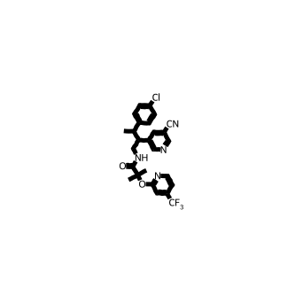 CC(c1ccc(Cl)cc1)C(CNC(=O)C(C)(C)Oc1cc(C(F)(F)F)ccn1)c1cncc(C#N)c1